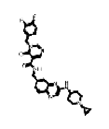 O=C(NCc1ccc2ncc(NC3CCN(C4CC4)CC3)nc2c1)c1cncn(Cc2ccc(F)c(F)c2)c1=O